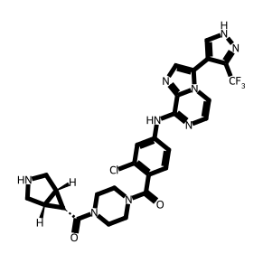 O=C(c1ccc(Nc2nccn3c(-c4c[nH]nc4C(F)(F)F)cnc23)cc1Cl)N1CCN(C(=O)[C@@H]2[C@@H]3CNC[C@@H]32)CC1